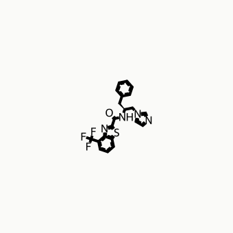 O=C(N[C@@H](Cc1ccccc1)Cn1ccnc1)c1nc2c(C(F)(F)F)cccc2s1